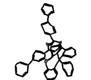 c1ccc(-c2ccc(-c3cc(-c4ccccc4C4(c5ccccc5)c5ccccc5Oc5ccccc54)nc(-c4ccc(-c5ccccc5)cc4)n3)cc2)cc1